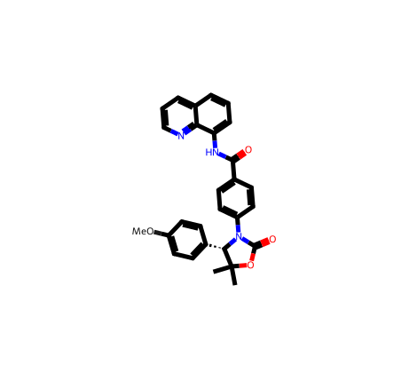 COc1ccc([C@@H]2N(c3ccc(C(=O)Nc4cccc5cccnc45)cc3)C(=O)OC2(C)C)cc1